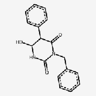 O=C1NC(O)C(c2ccccc2)C(=O)N1Cc1ccccc1